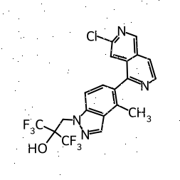 Cc1c(-c2nccc3cnc(Cl)cc23)ccc2c1cnn2CC(O)(C(F)(F)F)C(F)(F)F